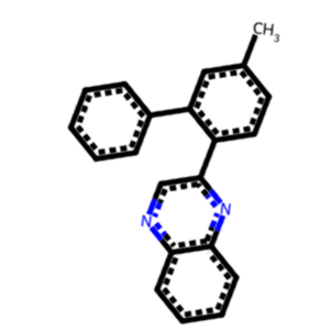 Cc1ccc(-c2cnc3ccccc3n2)c(-c2ccccc2)c1